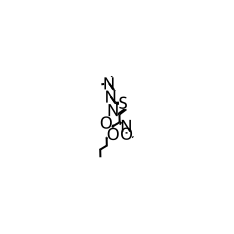 CCCCOC(=O)/C(=N\OC)c1csc(/N=C/N(C)C)n1